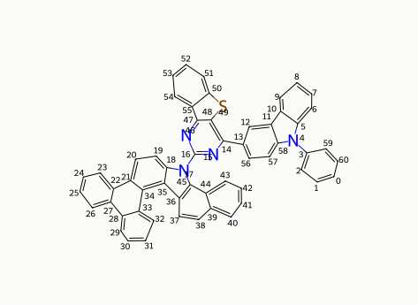 c1ccc(-n2c3ccccc3c3cc(-c4nc(-n5c6ccc7c8ccccc8c8ccccc8c7c6c6ccc7ccccc7c65)nc5c4sc4ccccc45)ccc32)cc1